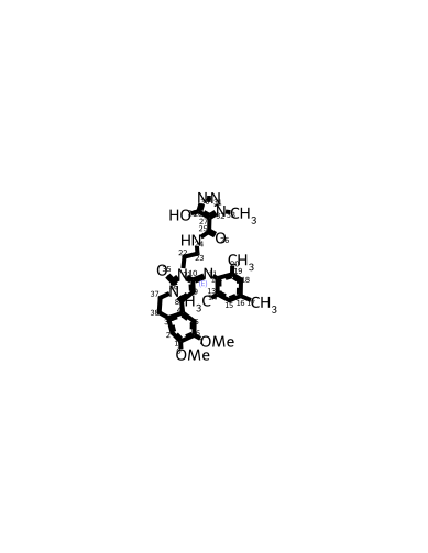 COc1cc2c(cc1OC)-c1c/c(=N\c3c(C)cc(C)cc3C)n(CCNC(=O)c3c(O)nnn3C)c(=O)n1CC2